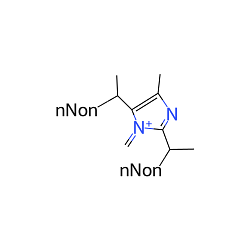 C=[N+]1C(C(C)CCCCCCCCC)=NC(C)=C1C(C)CCCCCCCCC